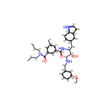 CCCN(CCC)C(=O)c1cc(C)cc(C(=O)NC(Cc2ccc3[nH]ccc3c2)[C@H](O)CNCc2cccc(OC)c2)c1